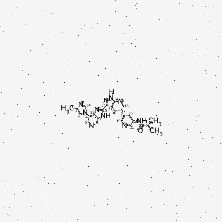 Cc1cn(-c2cncc3[nH]c(-c4n[nH]c5ncc(-c6cncc(NC(=O)C(C)C)c6)cc45)nc23)cn1